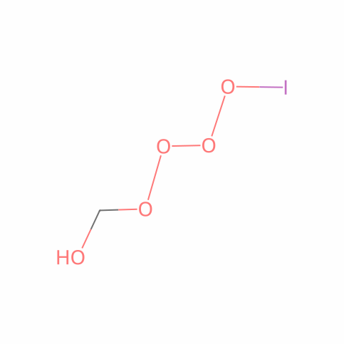 OCOOOOI